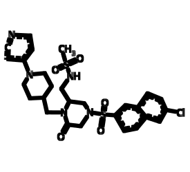 CS(=O)(=O)NCC1CN(S(=O)(=O)c2ccc3cc(Cl)ccc3c2)CC(=O)N1CC1CCN(c2ccncc2)CC1